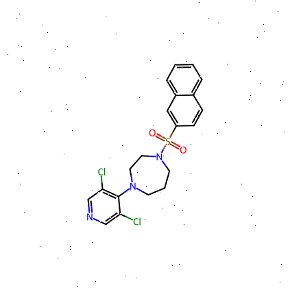 O=S(=O)(c1ccc2ccccc2c1)N1CCCN(c2c(Cl)cncc2Cl)CC1